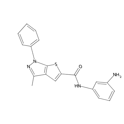 Cc1nn(-c2ccccc2)c2sc(C(=O)Nc3cccc(N)c3)cc12